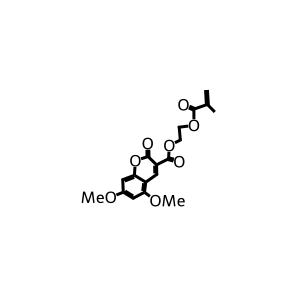 C=C(C)C(=O)OCCOC(=O)c1cc2c(OC)cc(OC)cc2oc1=O